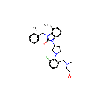 COc1cccc2c1n(Cc1ccccc1C(F)(F)F)c(=O)n2C1CCN(c2c(F)cccc2CN(C)CCO)C1